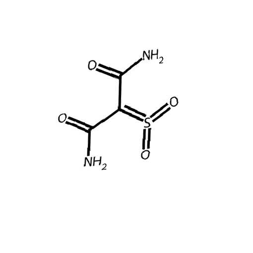 NC(=O)C(C(N)=O)=S(=O)=O